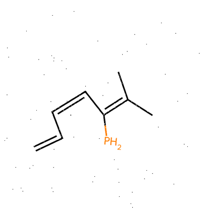 C=C/C=C\C(P)=C(C)C